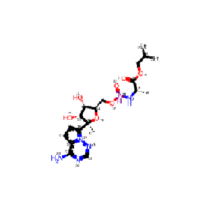 CCC(CC)COC(=O)[C@H](C)N[PH](=O)OC[C@H]1O[C@@](C)(c2ccc3c(N)ncnn23)[C@H](O)[C@@H]1O